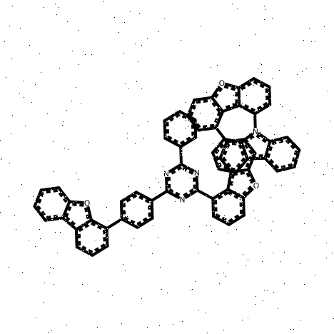 c1ccc(-c2nc(-c3ccc(-c4cccc5c4oc4ccccc45)cc3)nc(-c3cccc4oc5ccc(-c6cccc7oc8cccc(-n9c%10ccccc%10c%10ccccc%109)c8c67)cc5c34)n2)cc1